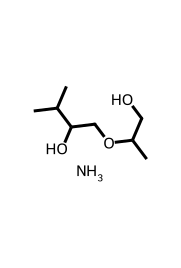 CC(CO)OCC(O)C(C)C.N